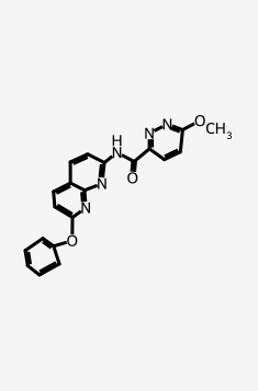 COc1ccc(C(=O)Nc2ccc3ccc(Oc4ccccc4)nc3n2)nn1